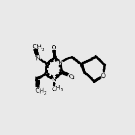 C=Cc1c(N=C)c(=O)n(CC2CCOCC2)c(=O)n1C